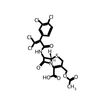 CC(=O)OCC1=C(C(=O)O)N2C(=O)C(NC(=O)C(=C(Cl)Cl)c3ccc(Cl)c(Cl)c3)[C@@H]2SC1